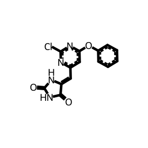 O=C1NC(=O)C(=Cc2cc(Oc3ccccc3)nc(Cl)n2)N1